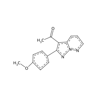 COc1ccc(-c2nn3ncccc3c2C(C)=O)cc1